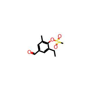 CCc1cc(C=O)cc(C)c1OS(C)(=O)=O